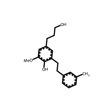 COc1cc(CCCO)cc(CCc2cccc(C)c2)c1O